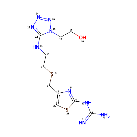 N=C(N)Nc1nc(CSCCNc2nnnn2CCO)cs1